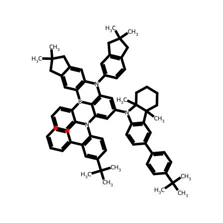 CC1(C)Cc2ccc(N3c4cc5c(cc4B4c6ccccc6N(c6ccc(C(C)(C)C)cc6-c6ccccc6)c6cc(N7c8ccc(-c9ccc(C(C)(C)C)cc9)cc8C8(C)CCCCC78C)cc3c64)CC(C)(C)C5)cc2C1